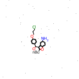 CCCCc1oc2ccc(N)cc2c1C(=O)c1ccc(OCCCCl)cc1